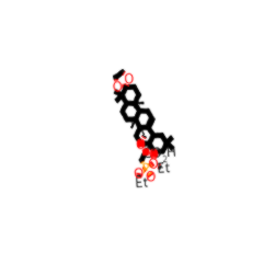 CCOP(=O)(CC(=O)OC[C@@]12CC[C@@]3(C(=O)O)CCC(C)(C)CC3C1=CCC1[C@@]3(C)CCC4(OCCO4)C(C)(C)C3CC[C@]12C)OCC